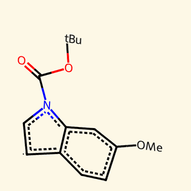 COc1ccc2[c]cn(C(=O)OC(C)(C)C)c2c1